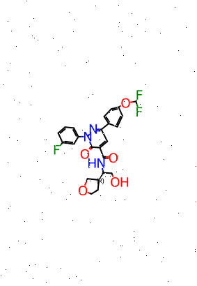 O=C(NC(CO)[C@H]1CCOC1)c1cc(-c2ccc(OC(F)F)cc2)nn(-c2cccc(F)c2)c1=O